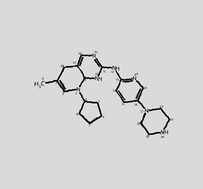 CC1=CN(C2CCCC2)C2NC(Nc3ccc(N4CCNCC4)cn3)=NC=C2C1